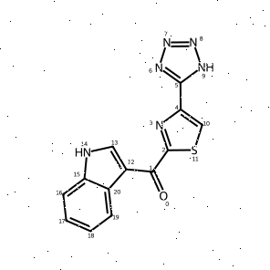 O=C(c1nc(-c2nnn[nH]2)cs1)c1c[nH]c2ccccc12